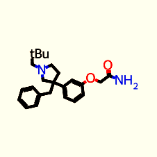 CC(C)(C)CN1CCC(Cc2ccccc2)(c2cccc(OCC(N)=O)c2)C1